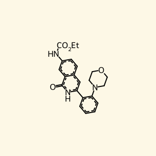 CCOC(=O)Nc1ccc2cc(-c3ccccc3N3CCOCC3)[nH]c(=O)c2c1